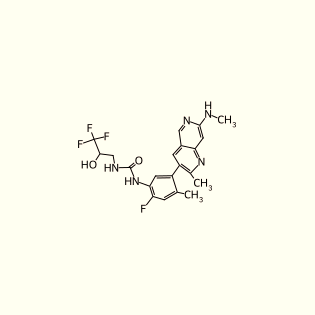 CNc1cc2nc(C)c(-c3cc(NC(=O)NCC(O)C(F)(F)F)c(F)cc3C)cc2cn1